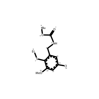 CCSc1c(CNC(=O)OC(C)(C)C)cc(Cl)cc1OC